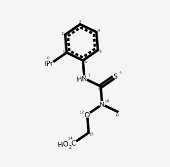 CC(C)c1ccccc1NC(=S)N(C)OCC(=O)O